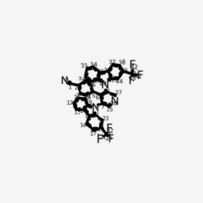 N#Cc1ccc(-c2c(-n3c4ccccc4c4ccc(C(F)(F)F)cc43)cncc2-n2c3ccccc3c3ccc(C(F)(F)F)cc32)cc1